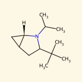 CC(C)N1C(C(C)(C)C)CC2C[C@@H]21